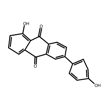 O=C1c2cc(-c3ccc(O)cc3)ccc2C(=O)c2c(O)cccc21